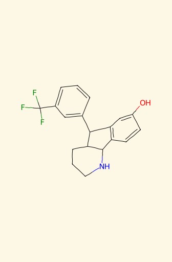 Oc1ccc2c(c1)C(c1cccc(C(F)(F)F)c1)C1CCCNC21